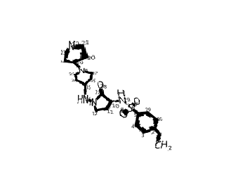 C=Cc1ccc(S(=O)(=O)N[C@H]2CCN(NC3CCN(c4ccncc4)CC3)C2=O)cc1